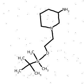 CC(C)(C)[Si](C)(C)OCCN1CCCC(N)C1